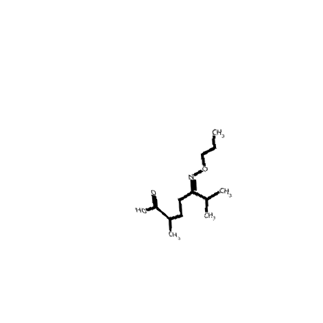 CCCON=C(CCC(C)C(=O)O)C(C)C